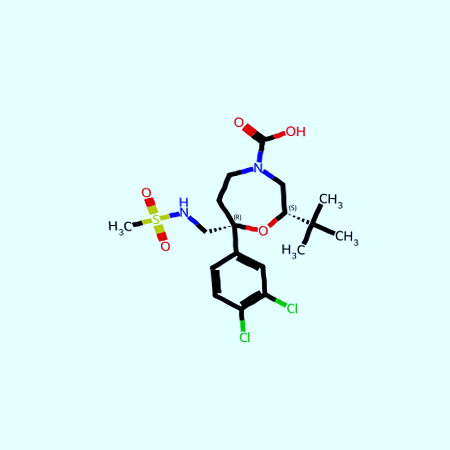 CC(C)(C)[C@H]1CN(C(=O)O)CC[C@](CNS(C)(=O)=O)(c2ccc(Cl)c(Cl)c2)O1